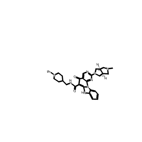 CC(C)N1CCC(CNC(=O)c2c(=O)c3cnc(N4C[C@H]5CN(C)C[C@H]5C4)nc3n3c2[nH]c2ccccc23)CC1